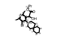 Cc1nc(C)c(C(O)C(=O)OC(C)C)c(N2CCC3(CCCCC3)CC2)c1Br